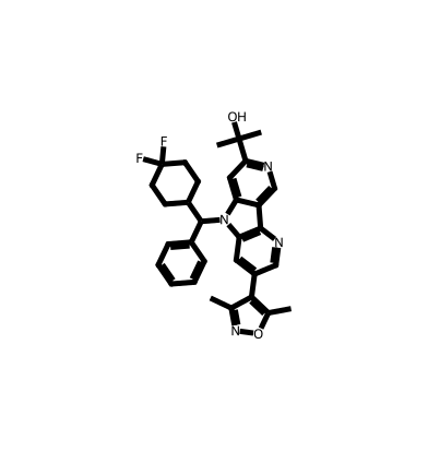 Cc1noc(C)c1-c1cnc2c3cnc(C(C)(C)O)cc3n(C(c3ccccc3)C3CCC(F)(F)CC3)c2c1